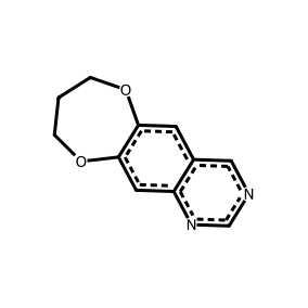 c1ncc2cc3c(cc2n1)OCCCO3